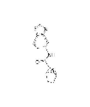 O=C(Nc1ccc2scnc2c1)C1CC2CCC1O2